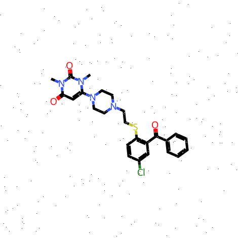 Cn1c(N2CCN(CCSc3ccc(Cl)cc3C(=O)c3ccccc3)CC2)cc(=O)n(C)c1=O